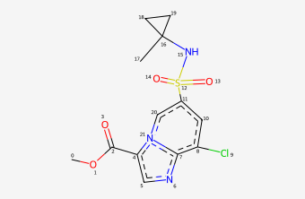 COC(=O)c1cnc2c(Cl)cc(S(=O)(=O)NC3(C)CC3)cn12